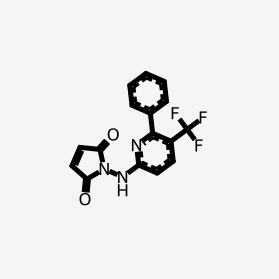 O=C1C=CC(=O)N1Nc1ccc(C(F)(F)F)c(-c2ccccc2)n1